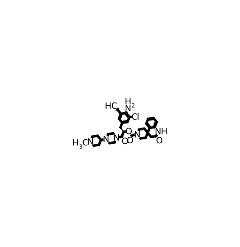 C#Cc1cc(C[C@@H](OC(=O)N2CCC3(CC2)CC(=O)Nc2ccccc23)C(=O)N2CCN(C3CCN(C)CC3)CC2)cc(Cl)c1N